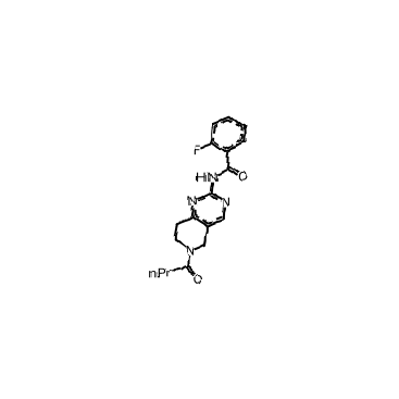 CCCC(=O)N1CCc2nc(NC(=O)c3ccccc3F)ncc2C1